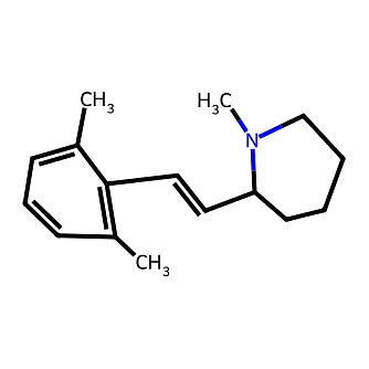 Cc1cccc(C)c1C=CC1CCCCN1C